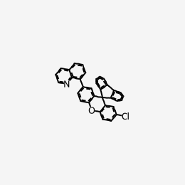 Clc1ccc2c(c1)C1(c3cc(-c4cccc5cccnc45)ccc3O2)c2ccccc2-c2ccccc21